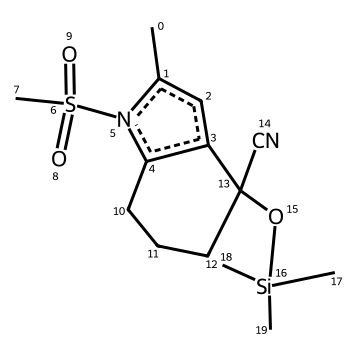 Cc1cc2c(n1S(C)(=O)=O)CCCC2(C#N)O[Si](C)(C)C